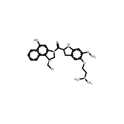 COc1cc2c(cc1OCCN(C)C)CC(C(=O)N1C[C@@H](CCl)c3c1cc(O)c1ccccc31)N2